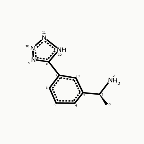 C[C@H](N)c1cccc(-c2nnn[nH]2)c1